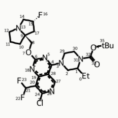 CCC1CN(c2nc(OC[C@@]34CCCN3C[C@H](F)C4)nc3c(C(F)F)c(Cl)ncc23)CCN1C(=O)OC(C)(C)C